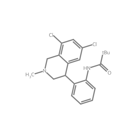 CN1Cc2c(Cl)cc(Cl)cc2C(c2ccccc2NC(=O)C(C)(C)C)C1